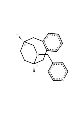 c1ccc2c(c1)C[C@H]1CC[C@@H](C2)N(Cc2ccncc2)C1